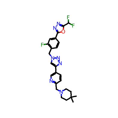 CC1(C)CCN(Cc2ccc(-c3cn(Cc4ccc(-c5nnc(C(F)F)o5)cc4F)nn3)cn2)CC1